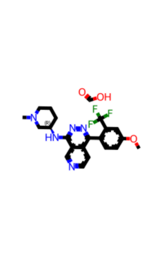 COc1ccc(-c2nnc(N[C@@H]3CCCN(C)C3)c3cnccc23)c(C(F)(F)F)c1.O=CO